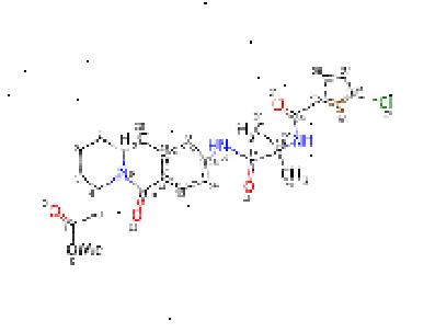 COC(=O)CC1CCCCN1C(=O)c1ccc(NC(=O)C(C)(C)NC(=O)c2ccc(Cl)s2)cc1C